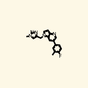 Cc1cc(-c2cnc3ccn(Cc4cn(C)nn4)c3c2)ccc1F